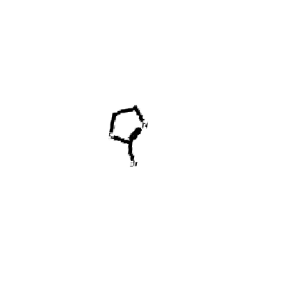 BrC1=NCCS1